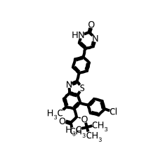 CC(=O)[C@@H](OC(C)(C)C)c1c(C)cc2nc(-c3ccc(-c4cnc(=O)[nH]c4)cc3)sc2c1-c1ccc(Cl)cc1